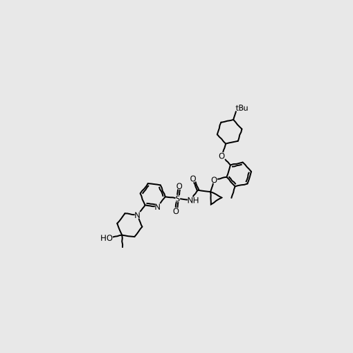 Cc1cccc(OC2CCC(C(C)(C)C)CC2)c1OC1(C(=O)NS(=O)(=O)c2cccc(N3CCC(C)(O)CC3)n2)CC1